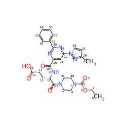 CCOC(=O)N1CCN(C(=O)[C@H](CCC(=O)O)NC(=O)c2cc(-n3ccc(C)n3)nc(-c3ccccc3)n2)CC1